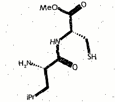 COC(=O)[C@H](CS)NC(=O)[C@@H](N)CC(C)C